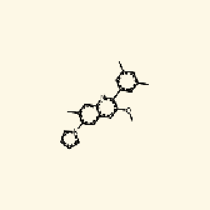 COc1cc2cc(-n3cccc3)c(C)cc2nc1-c1cc(C)cc(C)c1